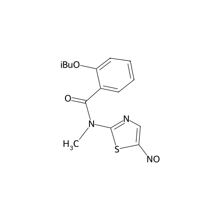 CC(C)COc1ccccc1C(=O)N(C)c1ncc(N=O)s1